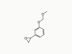 COCOc1cccc(C2CO2)c1